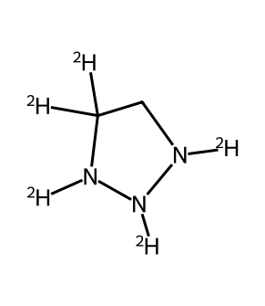 [2H]N1CC([2H])([2H])N([2H])N1[2H]